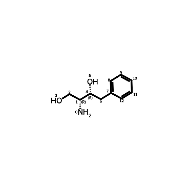 N[C@H](CO)[C@H](O)Cc1ccccc1